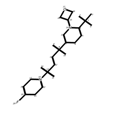 CC(C)(C)C1CCC(C(C)(C)CCC(C)(C)N2CCC(F)CC2)CN1C1COC1